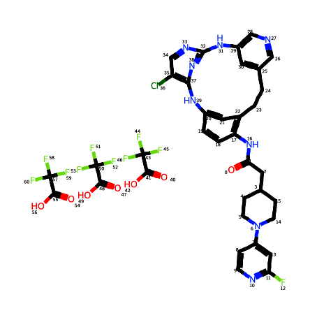 O=C(CC1CCN(c2ccnc(F)c2)CC1)Nc1ccc2cc1CCc1cncc(c1)Nc1ncc(Cl)c(n1)N2.O=C(O)C(F)(F)F.O=C(O)C(F)(F)F.O=C(O)C(F)(F)F